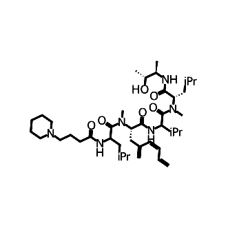 C=C/C=C\C(=C)C[C@@H](C(=O)NC(C(=O)N(C)[C@@H](CC(C)C)C(=O)N[C@H](C)[C@@H](C)O)C(C)C)N(C)C(=O)C(CC(C)C)NC(=O)CCCN1CCCCC1